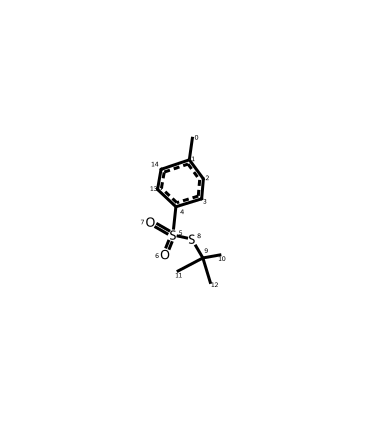 Cc1ccc(S(=O)(=O)SC(C)(C)C)cc1